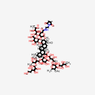 CCC(OC1OC(C)C(OC(C)=O)C(OC(O)C(O)C(O)C(C)O)C1O)C(O)C(OC1OC(C)C(OC(O)/C(O)=C(\OC(O)/C(O)=C(/O)C(O)CCO)C(C)O)C(O)C1O)C(O)OC(=O)[C@@]1(O)C[C@]2(C)C(=CCC3[C@@]4(C)CC[C@H](OC5OC(C(=O)NCCN6C(=O)C=CC6=O)C(O)C(OC(O)C(O)C(O)C(C)O)C5OC5OC(CO)C(O)C(O)C5O)[C@@](C)(C=O)C4CC[C@]32C)C2CC(C)(C)CCC21